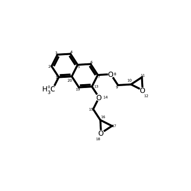 Cc1cccc2cc(OCC3CO3)c(OCC3CO3)cc12